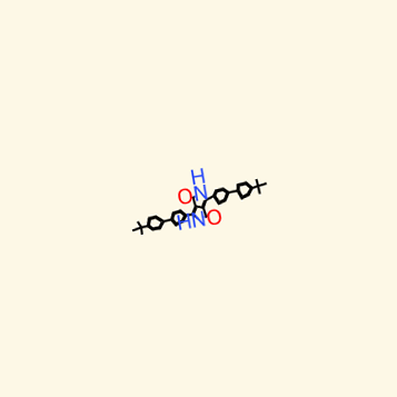 CC(C)(C)c1ccc(-c2ccc(C3=C4C(=O)NC(c5ccc(-c6ccc(C(C)(C)C)cc6)cc5)=C4C(=O)N3)cc2)cc1